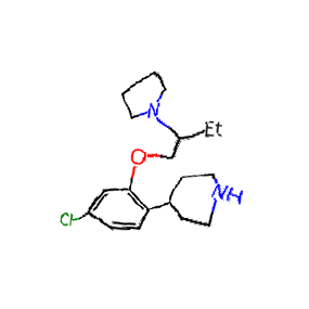 CCC(COc1cc(Cl)ccc1C1CCNCC1)N1CCCC1